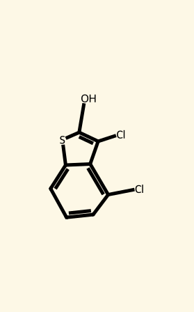 Oc1sc2cccc(Cl)c2c1Cl